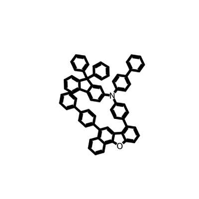 c1ccc(-c2ccc(-c3cc4c(oc5cccc(-c6ccc(N(c7ccc(-c8ccccc8)cc7)c7ccc8c(c7)C(c7ccccc7)(c7ccccc7)c7ccccc7-8)cc6)c54)c4ccccc34)cc2)cc1